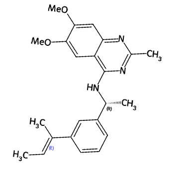 C/C=C(\C)c1cccc([C@@H](C)Nc2nc(C)nc3cc(OC)c(OC)cc23)c1